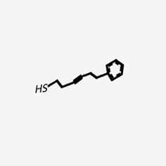 SCCC#CCCc1ccccc1